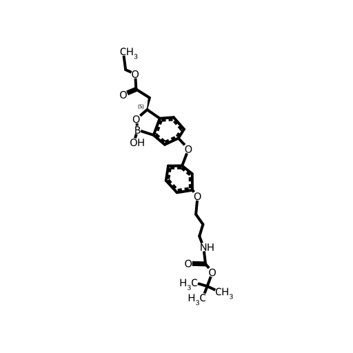 CCOC(=O)C[C@@H]1OB(O)c2cc(Oc3cccc(OCCCNC(=O)OC(C)(C)C)c3)ccc21